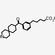 O=C(O)CCCCc1cccc(C(=O)C2CCC3(CCNCC3)CC2)c1